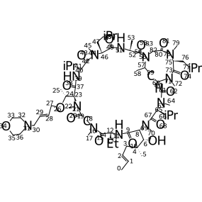 C/C=C/C[C@@H](C)[C@@H](O)[C@@H]1C(=O)N[C@@H](CC)C(=O)N(C)CC(=O)N(C)[C@@H]([C@@H](C)OC/C=C/CN2CCOCC2)C(=O)N[C@@H](C(C)C)C(=O)N(C)[C@@H](CC(C)C)C(=O)N[C@@H](C)C(=O)N2C(C)C[C@@H](C(=O)N(C)[C@@H](C(C)C)C(=O)N1C)N(C)C(=O)[C@H](CC(C)C)N(C)C(=O)[C@H]2C